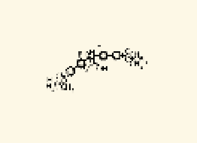 CC(CO)n1c(-c2ccc(C3=CCN(C(=O)OC(C)(C)C)CC3)cc2F)nnc1-c1ccc(C2=CCN(C(=O)OC(C)(C)C)CC2)cc1F